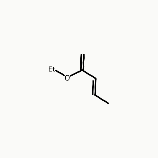 C=C(/C=C/C)OCC